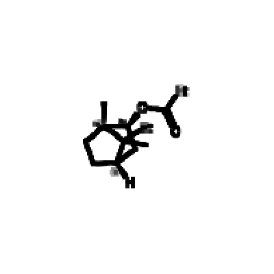 CCC(=O)O[C@H]1C[C@@H]2CC[C@@]1(C)C2(C)CC